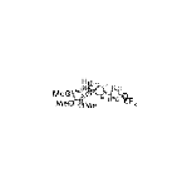 COc1cc(NS(=O)(=O)c2ccc(-c3ccc(OC(F)(F)F)cc3)cc2)cc(OC)c1OC